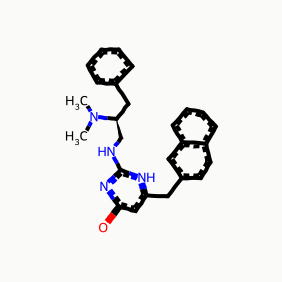 CN(C)[C@H](CNc1nc(=O)cc(Cc2ccc3ccccc3c2)[nH]1)Cc1ccccc1